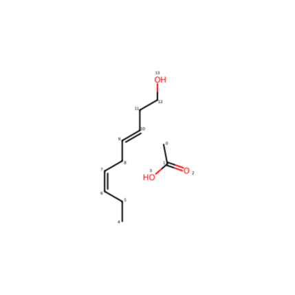 CC(=O)O.CC/C=C\C/C=C/CCO